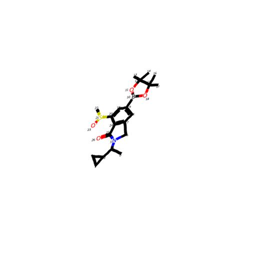 CC(C1CC1)N1Cc2cc(B3OC(C)(C)C(C)(C)O3)cc([S+](C)[O-])c2C1=O